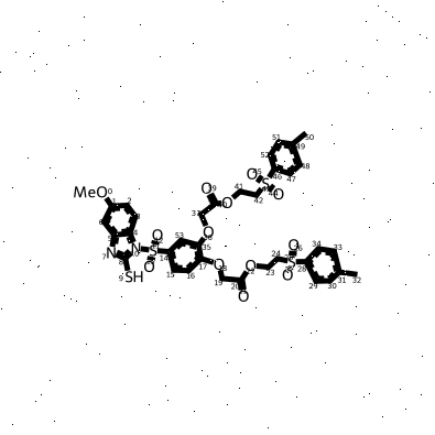 COc1ccc2c(c1)nc(S)n2S(=O)(=O)c1ccc(OCC(=O)OCCS(=O)(=O)c2ccc(C)cc2)c(OCC(=O)OCCS(=O)(=O)c2ccc(C)cc2)c1